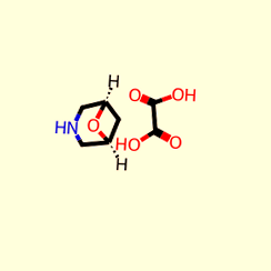 C1NC[C@H]2C[C@@H]1O2.O=C(O)C(=O)O